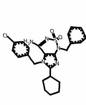 NC1=NS(=O)(=O)N(Cc2ccccc2)c2nc(C3CCCCC3)n(Cc3ccc(Cl)cc3)c21